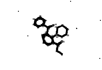 CCC(=O)c1cccc(C(=O)c2ccccc2)c1N1CCCCC1